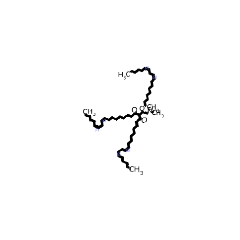 CCCCC/C=C\C/C=C\CCCCCCCCOC(CN(C)C)C(C(=O)CCCCCCC/C=C\C/C=C\CCCCC)C(=O)CCCCCCC/C=C\C/C=C\CCCCC